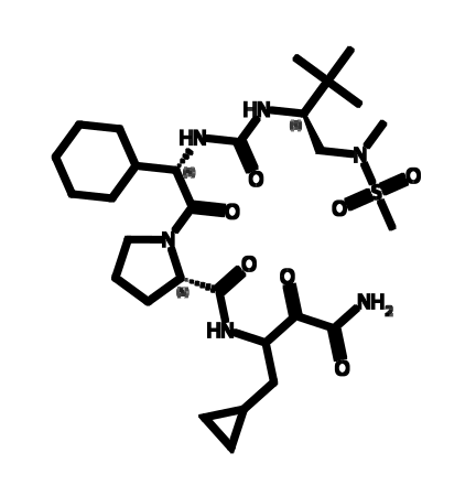 CN(C[C@@H](NC(=O)N[C@H](C(=O)N1CCC[C@H]1C(=O)NC(CC1CC1)C(=O)C(N)=O)C1CCCCC1)C(C)(C)C)S(C)(=O)=O